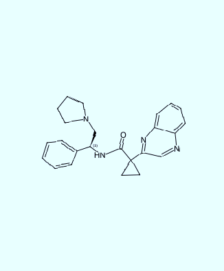 O=C(N[C@H](CN1CCCC1)c1ccccc1)C1(c2cnc3ccccc3n2)CC1